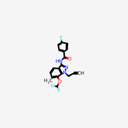 C#CCn1nc(NC(=O)c2ccc(F)cc2)c2ccc(C)c(OC(F)F)c21